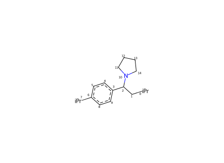 CC(C)CC(c1ccc(C(C)C)cc1)N1CCCC1